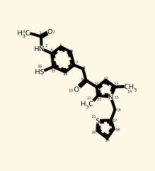 CC(=O)Nc1ccc(CC(=O)c2cc(C)n(Cc3cccs3)c2C)cc1S